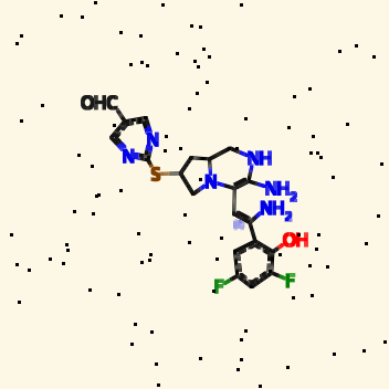 NC1=C(/C=C(\N)c2cc(F)cc(F)c2O)N2CC(Sc3ncc(C=O)cn3)CC2CN1